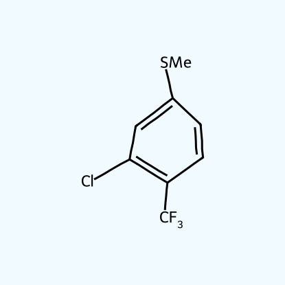 CSc1ccc(C(F)(F)F)c(Cl)c1